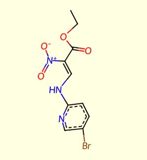 CCOC(=O)C(=CNc1ccc(Br)cn1)[N+](=O)[O-]